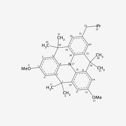 COc1cc2c3c(c1)C(C)(C)c1cc(OC)cc4c1N3c1c(cc(CC(C)C)cc1C4(C)C)C2(C)C